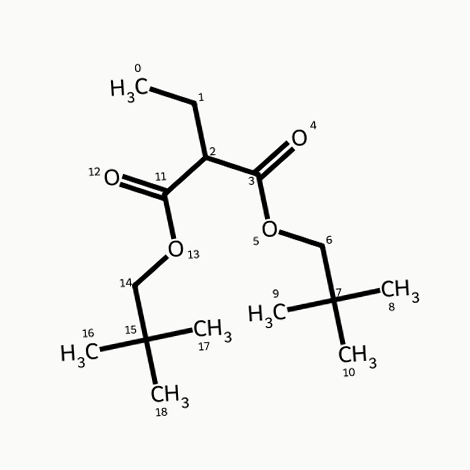 CCC(C(=O)OCC(C)(C)C)C(=O)OCC(C)(C)C